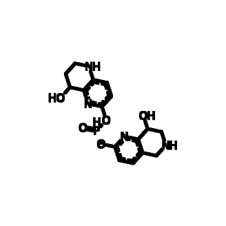 O=[PH](Oc1ccc2c(n1)C(O)CNC2)Oc1ccc2c(n1)C(O)CCN2